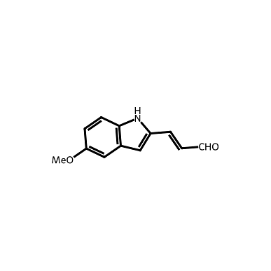 COc1ccc2[nH]c(C=CC=O)cc2c1